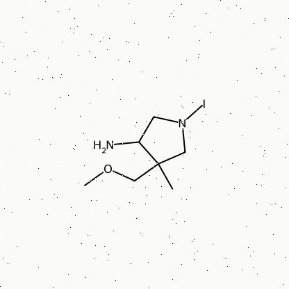 COCC1(C)CN(I)CC1N